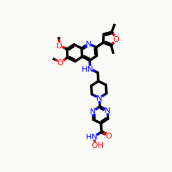 COc1cc2nc(-c3cc(C)oc3C)cc(NCC3CCN(c4ncc(C(=O)NO)cn4)CC3)c2cc1OC